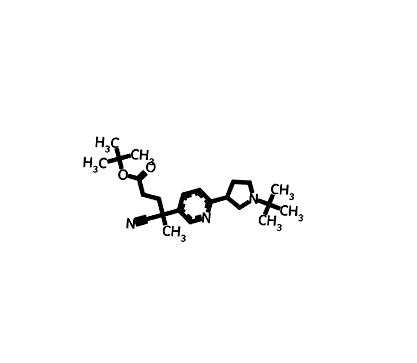 CC(C)(C)OC(=O)CCC(C)(C#N)c1ccc(C2CCN(C(C)(C)C)C2)nc1